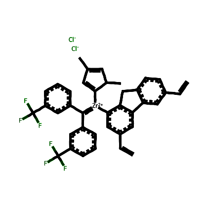 C=Cc1ccc2c(c1)-c1cc(C=C)c[c]([Zr+2]([C]3=CC(C)=CC3C)=[C](c3cccc(C(F)(F)F)c3)c3cccc(C(F)(F)F)c3)c1C2.[Cl-].[Cl-]